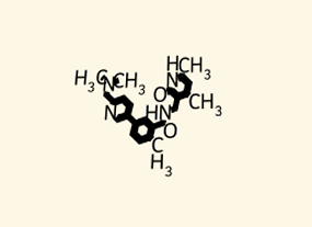 Cc1cc(C)c(CNC(=O)c2[c]c(-c3ccc(CN(C)C)nc3)ccc2C)c(=O)[nH]1